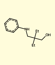 CCC(CC)(CO)CNc1ccccc1